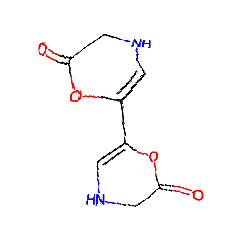 O=C1CNC=C(C2=CNCC(=O)O2)O1